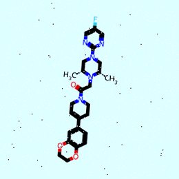 C[C@@H]1CN(c2ncc(F)cn2)C[C@H](C)N1CC(=O)N1CC=C(c2ccc3c(c2)OCCO3)CC1